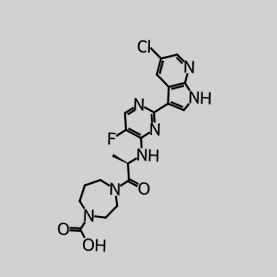 C[C@@H](Nc1nc(-c2c[nH]c3ncc(Cl)cc23)ncc1F)C(=O)N1CCCN(C(=O)O)CC1